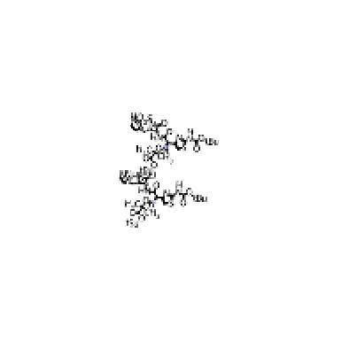 CC(C)(C)OC(=O)Nc1nc(/C(=N/OC(C)(C)C(=O)OC(C)(C)C)C(=O)N[C@@H]2C(=O)N(S(=O)(=O)O)[C@@H]2Cn2ccnn2)cs1.CC(C)(C)OC(=O)Nc1nc(/C(=N/OC(C)(C)C(=O)OC(C)(C)C)C(=O)N[C@@H]2C(=O)N[C@@H]2Cn2ccnn2)cs1